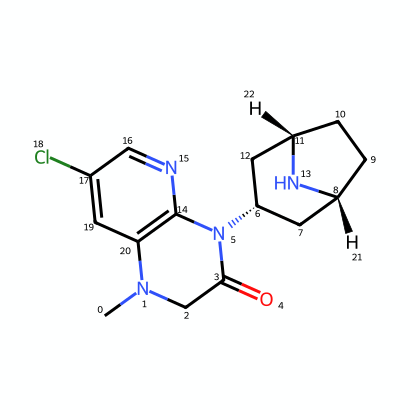 CN1CC(=O)N([C@H]2C[C@H]3CC[C@@H](C2)N3)c2ncc(Cl)cc21